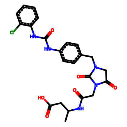 CC(CC(=O)O)NC(=O)CN1C(=O)CN(Cc2ccc(NC(=O)Nc3ccccc3Cl)cc2)C1=O